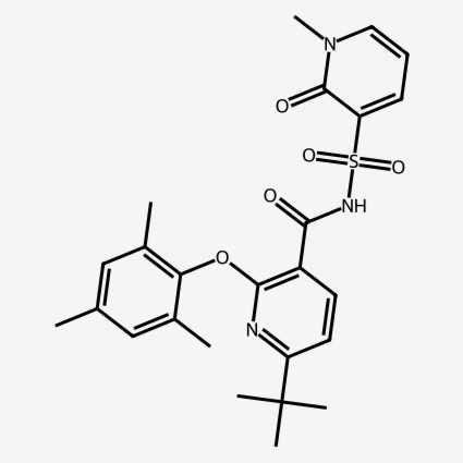 Cc1cc(C)c(Oc2nc(C(C)(C)C)ccc2C(=O)NS(=O)(=O)c2cccn(C)c2=O)c(C)c1